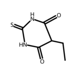 CCC1C(=O)NC(=S)NC1=O